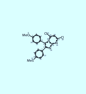 COc1ccc(-c2c(-c3ccc(SC)cc3)nc3nc(Cl)cc(Cl)n23)cc1